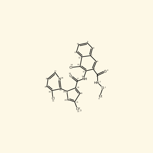 CCONC(=O)c1cc2ccccc2c(Cl)c1NC(=O)c1cc(C(F)(F)F)nn1-c1ncccc1Cl